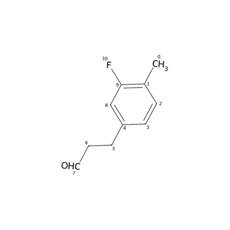 Cc1ccc(CCC=O)cc1F